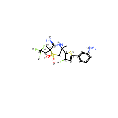 C[C@@]1(C2SC(c3cccc(N)c3)=CC2F)CS(=O)(=O)[C@](C)(CC(F)(F)F)C(=N)N1